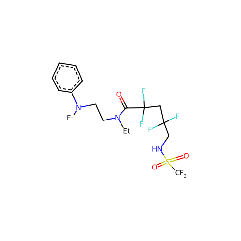 CCN(CCN(CC)c1ccccc1)C(=O)C(F)(F)CC(F)(F)CNS(=O)(=O)C(F)(F)F